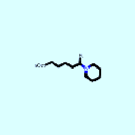 CCCCCCCCCCCCC(CC)N1CCCCC1